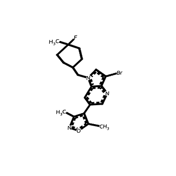 Cc1noc(C)c1-c1cnc2c(Br)cn(CC3CCC(C)(F)CC3)c2c1